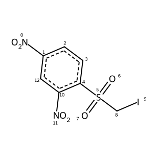 O=[N+]([O-])c1ccc(S(=O)(=O)CI)c([N+](=O)[O-])c1